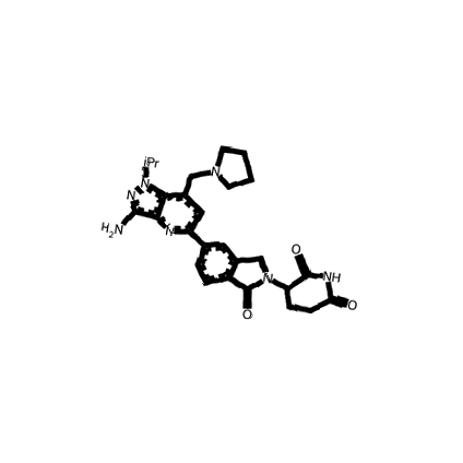 CC(C)n1nc(N)c2nc(-c3ccc4c(c3)CN(C3CCC(=O)NC3=O)C4=O)cc(CN3CCCC3)c21